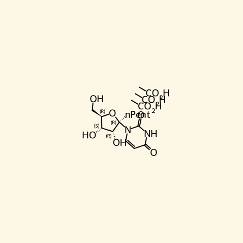 CC(=O)O.CC(=O)O.CC(=O)O.CCCCC[C@@]1(n2ccc(=O)[nH]c2=O)O[C@H](CO)[C@@H](O)[C@H]1O